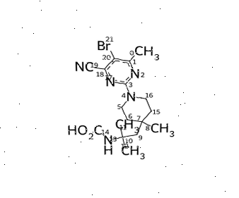 Cc1nc(N2CCC(C)(CC(C)(C)NC(=O)O)CC2)nc(C#N)c1Br